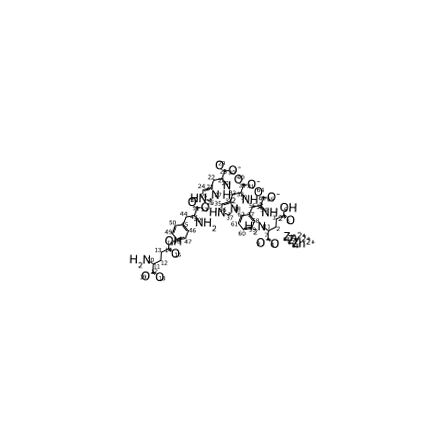 N[C@@H](CCC(=O)O)C(=O)[O-].N[C@@H](CCC(=O)O)C(=O)[O-].N[C@@H](Cc1c[nH]cn1)C(=O)[O-].N[C@@H](Cc1c[nH]cn1)C(=O)[O-].N[C@@H](Cc1ccccc1)C(=O)[O-].N[C@@H](Cc1ccccc1)C(=O)[O-].[Zn+2].[Zn+2].[Zn+2]